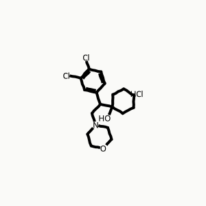 Cl.OC1(C(CN2CCOCC2)c2ccc(Cl)c(Cl)c2)CCCCC1